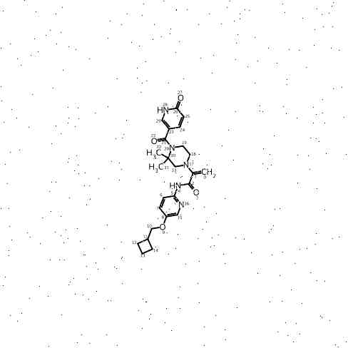 C=C(C(=O)Nc1ccc(OCC2CCC2)cn1)N1CCN(C(=O)c2ccc(=O)[nH]c2)C(C)(C)C1